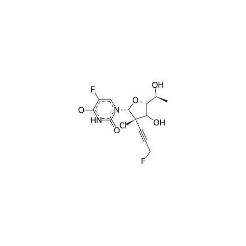 C[C@H](O)[C@H]1O[C@@H](n2cc(F)c(=O)[nH]c2=O)[C@@](Cl)(C#CCF)C1O